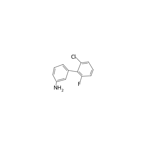 Nc1cccc(-c2c(F)cccc2Cl)c1